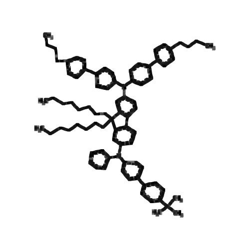 CCCCCCCCC1(CCCCCCCC)c2cc(N(c3ccccc3)c3ccc(-c4ccc(C(C)(C)C)cc4)cc3)ccc2-c2ccc(N(c3ccc(-c4ccc(CCCC)cc4)cc3)c3ccc(-c4ccc(CCCC)cc4)cc3)cc21